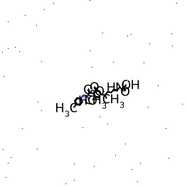 C/C(=C\c1ccc(C)cc1)C(=O)c1c(O)cc(C(C)CCC=CNC(=O)O)oc1=O